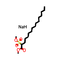 CCCCCCCCCCCCCCC(C(=O)OC)S(=O)(=O)OC.[NaH]